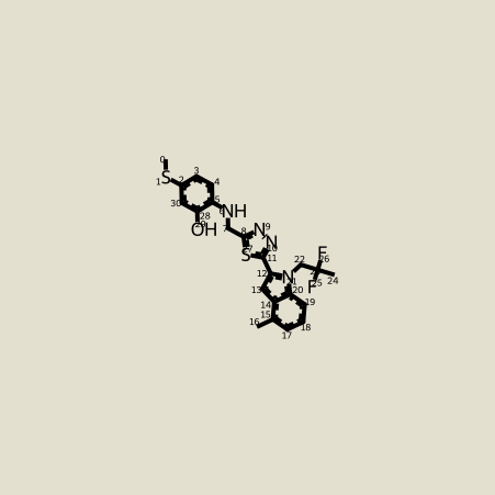 CSc1ccc(NCc2nnc(-c3cc4c(C)cccc4n3CC(C)(F)F)s2)c(O)c1